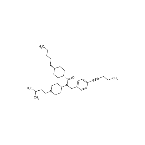 CCCC#Cc1ccc(CN(C(=O)[C@H]2CC[C@H](CCCCC)CC2)C2CCN(CCC(C)C)CC2)cc1